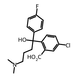 CN(C)CCCC(O)(c1ccc(F)cc1)c1ccc(Cl)cc1C(=O)O